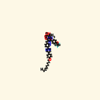 CCCCCCCOc1ccc(-c2cnc(-c3ccc(C[C@H](NC(=O)c4ccc(OC(F)(F)F)cc4)C(=O)N[C@H](C)C(=O)O)cc3)nc2)cc1